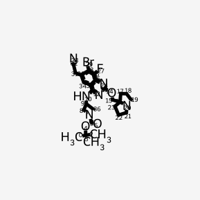 CC(C)(C)OC(=O)N1CC(Nc2nc(OCC34CCCN3CCC4)nc3c(F)c(Br)c(CC#N)cc23)C1